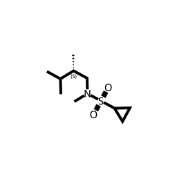 CC(C)[C@H](C)CN(C)S(=O)(=O)C1CC1